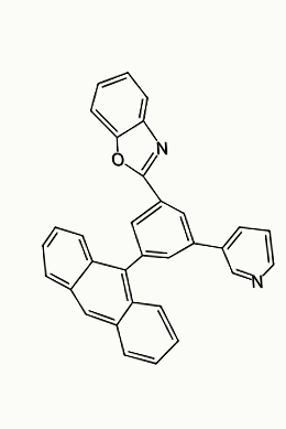 c1cncc(-c2cc(-c3nc4ccccc4o3)cc(-c3c4ccccc4cc4ccccc34)c2)c1